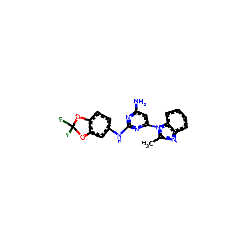 Cc1nc2ccccc2n1-c1cc(N)nc(Nc2ccc3c(c2)OC(F)(F)O3)n1